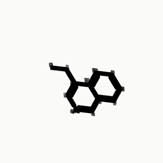 CCc1cncc2ccccc12